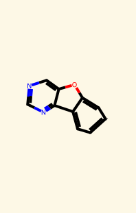 [c]1ccc2c(c1)oc1cncnc12